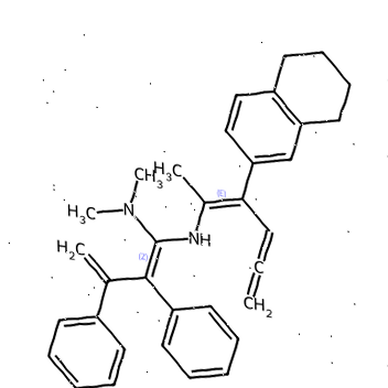 C=C=C/C(=C(/C)N/C(=C(/C(=C)c1ccccc1)c1ccccc1)N(C)C)c1ccc2c(c1)CCCC2